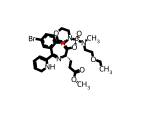 CCOCCN(C)P(=O)(OC1=Nc2ccc(Br)cc2C(C2=CC=CCN2)=N[C@H]1CCC(=O)OC)N1CCOCC1